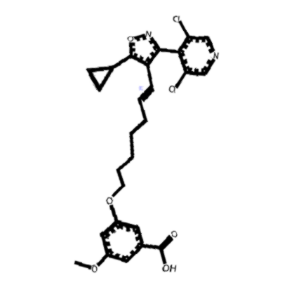 COc1cc(OCCCCC/C=C/c2c(-c3c(Cl)cncc3Cl)noc2C2CC2)cc(C(=O)O)c1